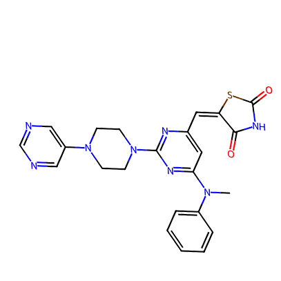 CN(c1ccccc1)c1cc(C=C2SC(=O)NC2=O)nc(N2CCN(c3cncnc3)CC2)n1